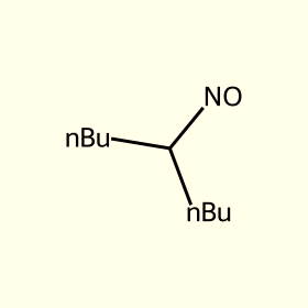 CCCCC(CCCC)N=O